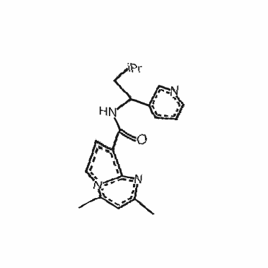 Cc1cc(C)n2ccc(C(=O)NC(CC(C)C)c3cccnc3)c2n1